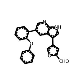 O=Cc1cc(-c2c[nH]c3ncc(-c4ccccc4Oc4ccccc4)cc23)co1